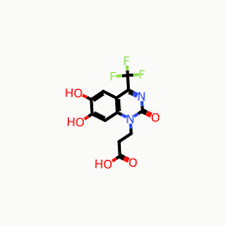 O=C(O)CCn1c(=O)nc(C(F)(F)F)c2cc(O)c(O)cc21